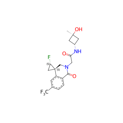 C[C@]1(O)C[C@H](NC(=O)CN2C[C@]3(C[C@@H]3F)c3cc(C(F)(F)F)ccc3C2=O)C1